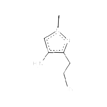 CC(C)CCc1nn(C)cc1N